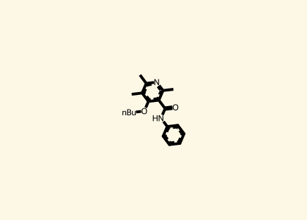 CCCCOc1c(C)c(C)nc(C)c1C(=O)Nc1ccccc1